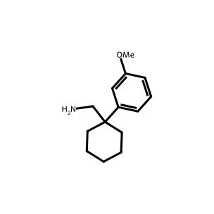 COc1cccc(C2(CN)CCCCC2)c1